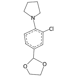 Clc1cc(C2OCCO2)ccc1N1CCCC1